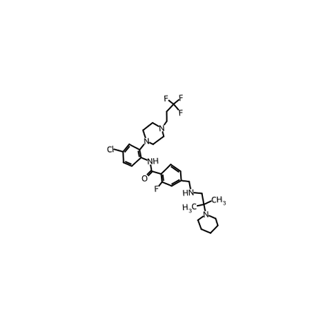 CC(C)(CNCc1ccc(C(=O)Nc2ccc(Cl)cc2N2CCN(CCC(F)(F)F)CC2)c(F)c1)N1CCCCC1